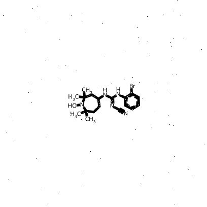 CC1(C)CCC(NC(=NC#N)Nc2ccccc2Br)CC(C)(C)N1O